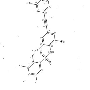 Cc1cc(F)c(C)c(S(=O)(=O)Nc2c(F)cc(C#Cc3cccc(F)c3)cc2F)c1